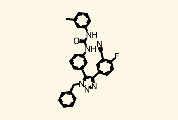 Cc1cccc(NC(=O)Nc2cccc(-c3c(-c4ccc(F)c(C#N)c4)nnn3Cc3ccccc3)c2)c1